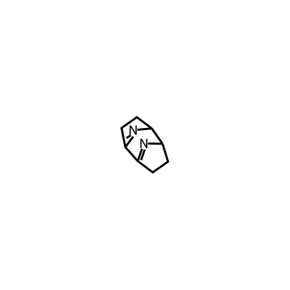 C1CC2N=C1C1=NC2CC1